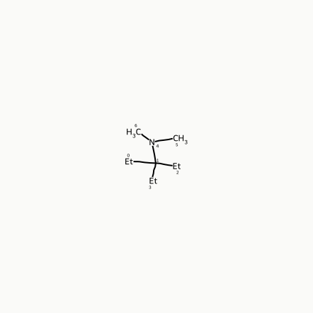 CCC(CC)(CC)N(C)C